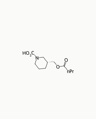 CCCC(=O)OC[C@@H]1CCCN(C(=O)O)C1